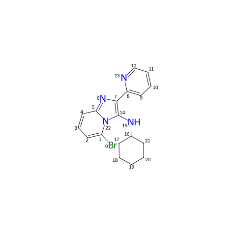 Brc1cccc2nc(-c3ccccn3)c(NC3CCCCC3)n12